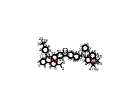 CC(C)c1ccc(-c2ccccc2N(c2ccc(C(C)(C)C)cc2)c2ccc3cc4c(cc3c2)oc2cc3cc(N(c5ccc(C(C)(C)C)cc5)c5ccccc5-c5ccc(C(C)(C)C)cc5)ccc3cc24)cc1